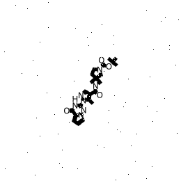 Cc1c(C(=O)N2CC3(CCN(C(=O)OC(C)(C)C)C3)C2)cnn1-c1nn2cccc2c(=O)[nH]1